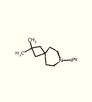 CC(C)N1CCC2(CC1)CC(C)(C)C2